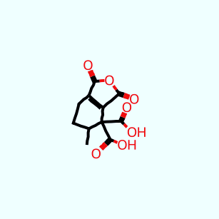 CC1CCC2=C(C(=O)OC2=O)C1(C(=O)O)C(=O)O